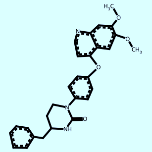 COc1cc2nccc(Oc3ccc(N4CCC(Cc5ccccc5)NC4=O)cc3)c2cc1OC